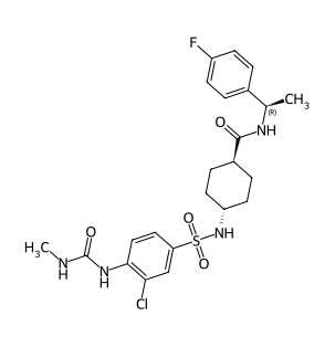 CNC(=O)Nc1ccc(S(=O)(=O)N[C@H]2CC[C@H](C(=O)N[C@H](C)c3ccc(F)cc3)CC2)cc1Cl